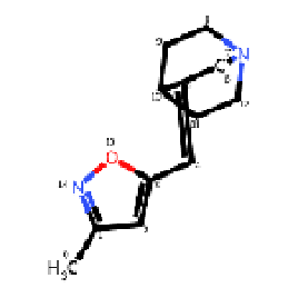 Cc1cc(C=C2CN3CCC2CC3)on1